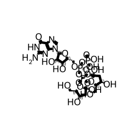 Nc1nc2c(ncn2[C@@H]2O[C@H](COP(=O)(OP(=O)(O)O)OP(=O)(O[C@]3(O)C[C@H](O)[C@@H](CO)O3)O[C@]3(O)C[C@H](O)[C@@H](CO)O3)[C@@H](O)[C@H]2O)c(=O)[nH]1